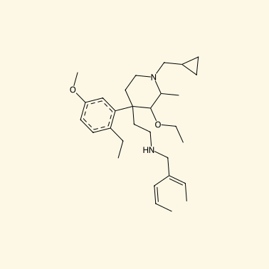 C/C=C\C(=C/C)CNCCC1(c2cc(OC)ccc2CC)CCN(CC2CC2)C(C)C1OCC